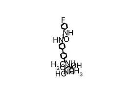 C=C(N[C@H](C(=O)NO)[C@@H](C)O)c1ccc(-c2ccc(NC(=O)CNc3ccc(F)cc3)cc2)cc1